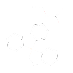 CCOC(=O)[O-].CC[P+](c1ccccc1)(c1ccccc1)c1ccccc1